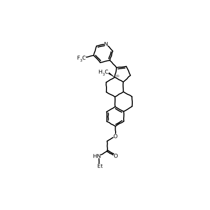 CCNC(=O)COc1ccc2c(c1)CCC1C2CC[C@]2(C)C(c3cncc(C(F)(F)F)c3)=CCC12